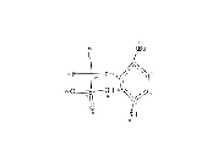 CC(C)(C)c1ccc(S)cc1.O=S(=O)(O)C(F)(F)F